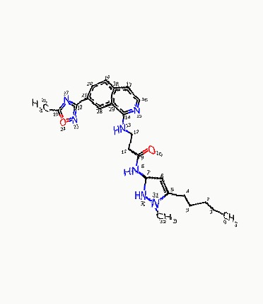 CCCCCC1=CC(NC(=O)CCNc2nccc3ccc(-c4noc(C)n4)cc23)NN1C